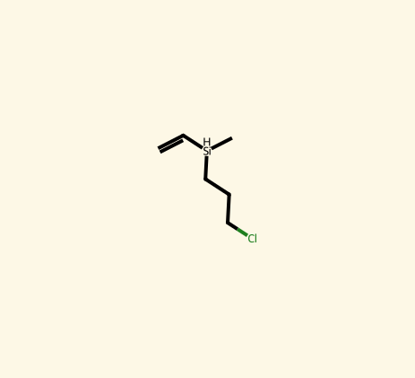 C=C[SiH](C)CCCCl